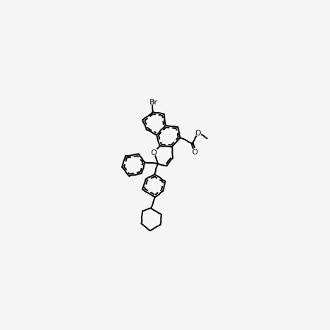 COC(=O)c1cc2cc(Br)ccc2c2c1C=CC(c1ccccc1)(c1ccc(C3CCCCC3)cc1)O2